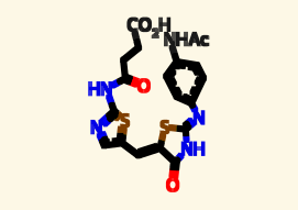 CC(=O)Nc1ccc(/N=C2/NC(=O)/C(=C/c3cnc(NC(=O)CCC(=O)O)s3)S2)cc1